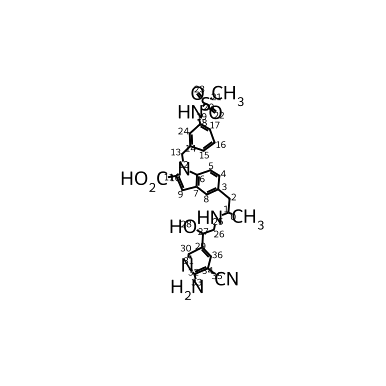 CC(Cc1ccc2c(c1)cc(C(=O)O)n2Cc1cccc(NS(C)(=O)=O)c1)NCC(O)c1cnc(N)c(C#N)c1